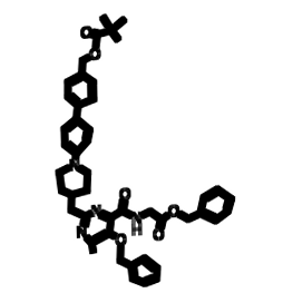 Cc1nc(CC2CCN(c3ccc(-c4ccc(COC(=O)C(C)(C)C)cc4)cc3)CC2)nc(C(=O)NCC(=O)OCc2ccccc2)c1OCc1ccccc1